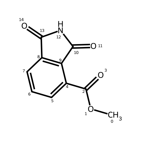 COC(=O)c1cccc2c1C(=O)NC2=O